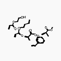 C=C(C)C(=O)O.C=C(C)C(=O)OC.C=CC(=O)OCCCC.C=CC(=O)OCCO.C=Cc1ccccc1